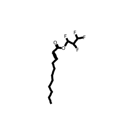 CCCCCCCCC=CC(=O)OC(F)C(F)C(F)F